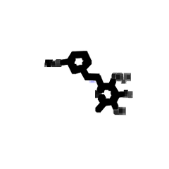 COc1cccc(/C=C/c2nc(C)c(O)c(C(C)=O)c2C(=O)O)c1